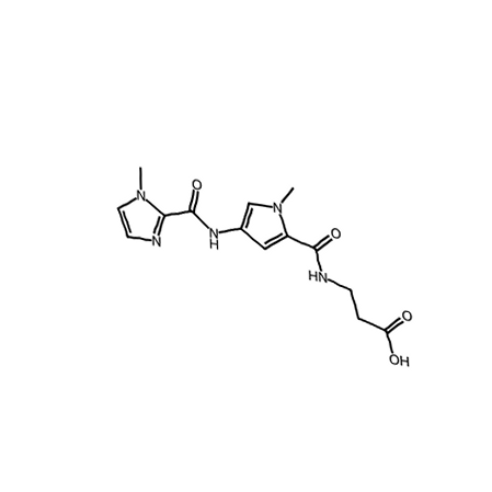 Cn1cc(NC(=O)c2nccn2C)cc1C(=O)NCCC(=O)O